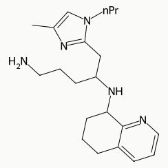 CCCn1cc(C)nc1CC(CCCN)NC1CCCc2cccnc21